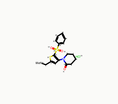 CNCc1cc(N2CCCCC2=O)c(S(=O)(=O)c2ccccc2)s1.Cl